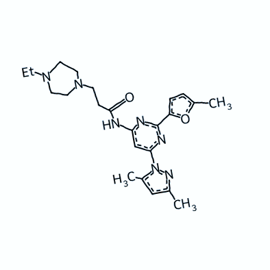 CCN1CCN(CCC(=O)Nc2cc(-n3nc(C)cc3C)nc(-c3ccc(C)o3)n2)CC1